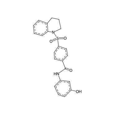 O=C(Nc1cccc(O)c1)c1ccc(S(=O)(=O)N2CCCc3ccccc32)cc1